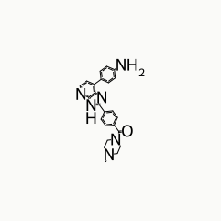 CN1CCN(C(=O)c2ccc(-c3nc4c(-c5ccc(N)cc5)ccnc4[nH]3)cc2)CC1